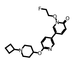 O=c1ccc(-c2ccc(OC3CCN(C4CCC4)CC3)nc2)cn1OCCF